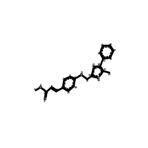 COC(=O)/C=C/c1ccc(OCc2nc(-c3ccccc3)c(C)o2)cc1